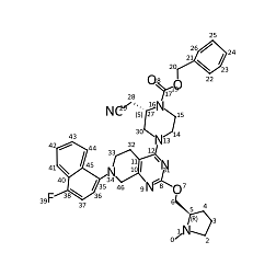 CN1CCC[C@@H]1COc1nc2c(c(N3CCN(C(=O)OCc4ccccc4)[C@@H](CC#N)C3)n1)CCN(c1ccc(F)c3ccccc13)C2